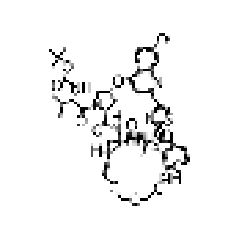 COc1ccc2c(O[C@@H]3C[C@@H](C(=O)N[C@]45C[C@H]4/C=C\CCCCCNc4ccccc4S(=O)(=O)NC5=O)N(C(=O)[C@H](NC(=O)OC(C)(C)C)C(C)C)C3)cc(-c3csc(NC(C)C)n3)nc2c1